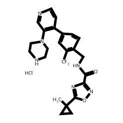 CC1(c2nc(C(=O)NCc3ccc(-c4ccncc4N4CCNCC4)cc3C(F)(F)F)no2)CC1.Cl